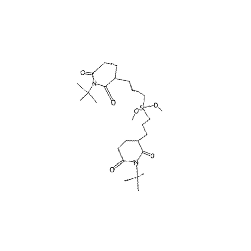 CO[Si](CCCC1CCC(=O)N(C(C)(C)C)C1=O)(CCCC1CCC(=O)N(C(C)(C)C)C1=O)OC